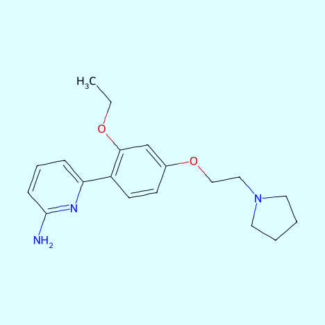 CCOc1cc(OCCN2CCCC2)ccc1-c1cccc(N)n1